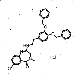 CN1CC(NCCc2ccc(OCc3ccccc3)c(OCc3ccccc3)c2)=Nc2ccc(Cl)cc2C1=O.Cl